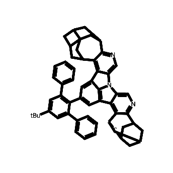 CC(C)(C)c1cc(-c2ccccc2)c(-c2cc3c4c5c(ncc4n4c6cnc7c(c6c(c2)c34)C2CC3CC4CC7CC43C2)C2CC3CC(C2)CC5C3)c(-c2ccccc2)c1